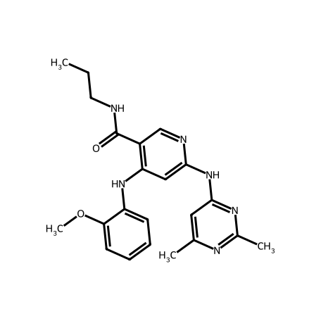 CCCNC(=O)c1cnc(Nc2cc(C)nc(C)n2)cc1Nc1ccccc1OC